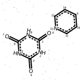 O=c1[nH]c(=O)[nH]c(=O)[nH]1.c1ccncc1